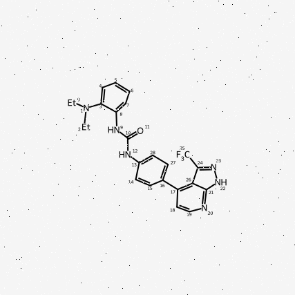 CCN(CC)c1ccccc1NC(=O)Nc1ccc(-c2ccnc3[nH]nc(C(F)(F)F)c23)cc1